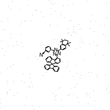 CC1(C)CCC(C)(C)c2cc(-c3nc(-c4cccc(C#N)c4)nc(-c4cccc5c4-c4ccccc4C54c5ccccc5-c5ccccc54)n3)ccc21